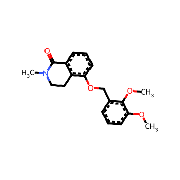 COc1cccc(COc2cccc3c2CCN(C)C3=O)c1OC